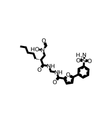 CCCCC[C@H](CN(O)C=O)C(=O)NCNC(=O)c1ccc(-c2cccc(S(N)(=O)=O)c2)o1